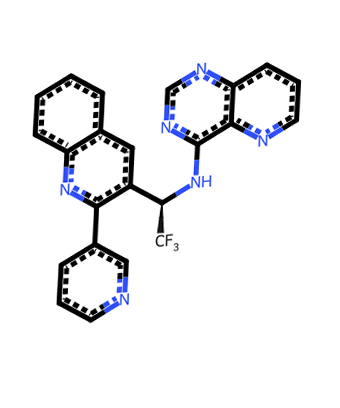 FC(F)(F)[C@H](Nc1ncnc2cccnc12)c1cc2ccccc2nc1-c1cccnc1